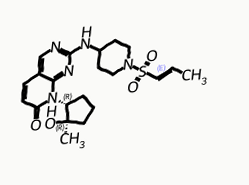 C/C=C/S(=O)(=O)N1CCC(Nc2ncc3ccc(=O)n([C@@H]4CCC[C@@]4(C)O)c3n2)CC1